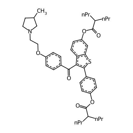 CCCC(CCC)C(=O)Oc1ccc(-c2sc3cc(OC(=O)C(CCC)CCC)ccc3c2C(=O)c2ccc(OCCN3CCC(C)C3)cc2)cc1